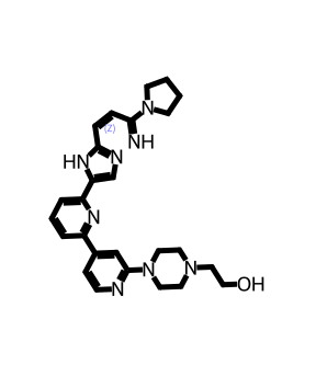 N=C(/C=C\c1ncc(-c2cccc(-c3ccnc(N4CCN(CCO)CC4)c3)n2)[nH]1)N1CCCC1